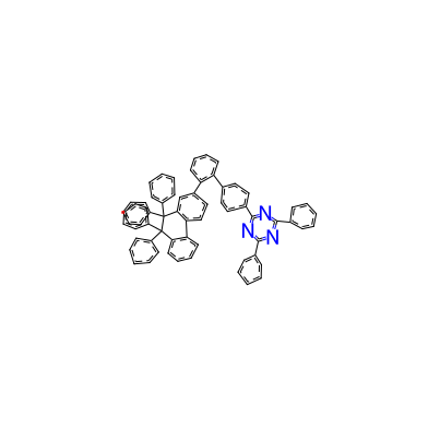 c1ccc(-c2nc(-c3ccccc3)nc(-c3ccc(-c4ccccc4-c4ccc5c(c4)C(c4ccccc4)(c4ccccc4)C(c4ccccc4)(c4ccccc4)c4ccccc4-5)cc3)n2)cc1